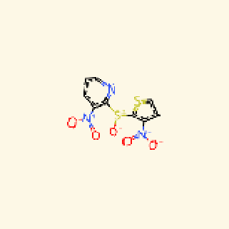 O=[N+]([O-])c1cccnc1[S+]([O-])c1sccc1[N+](=O)[O-]